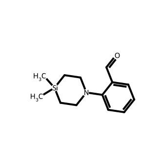 C[Si]1(C)CCN(c2ccccc2C=O)CC1